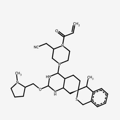 C=CC(=O)N1CCN(C2NC(OCC3CCCN3C)NC3C[C@]4(CCC32)SCc2ccccc2C4C)CC1CC#N